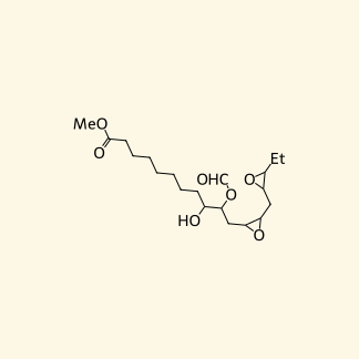 CCC1OC1CC1OC1CC(OC=O)C(O)CCCCCCCC(=O)OC